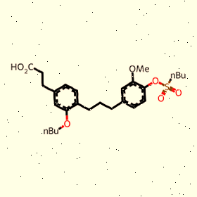 CCCCOc1cc(CCC(=O)O)ccc1CCCc1ccc(OS(=O)(=O)CCCC)c(OC)c1